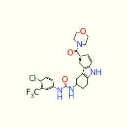 O=C(Nc1ccc(Cl)c(C(F)(F)F)c1)NC1CCc2[nH]c3ccc(C(=O)N4CCOCC4)cc3c2C1